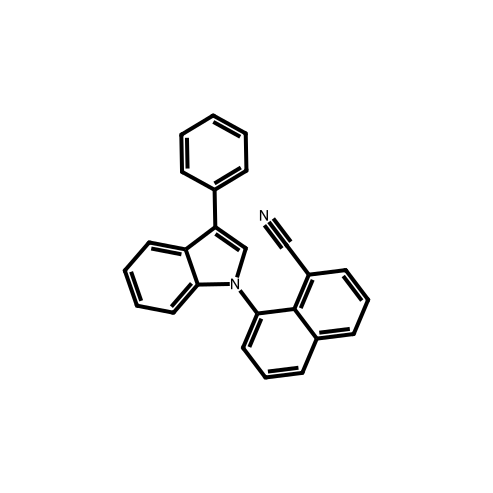 N#Cc1cccc2cccc(-n3cc(-c4ccccc4)c4ccccc43)c12